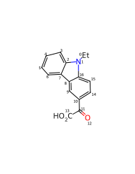 CCn1c2ccccc2c2cc(C(=O)C(=O)O)ccc21